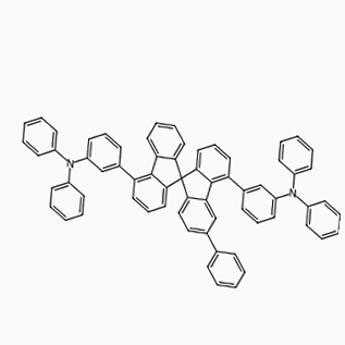 c1ccc(-c2ccc3c(c2)-c2c(-c4cccc(N(c5ccccc5)c5ccccc5)c4)cccc2C32c3ccccc3-c3c(-c4cccc(N(c5ccccc5)c5ccccc5)c4)cccc32)cc1